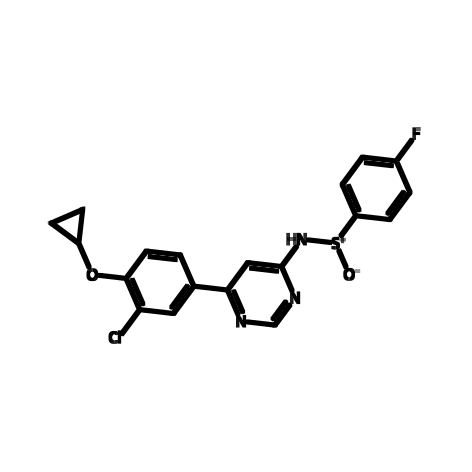 [O-][S+](Nc1cc(-c2ccc(OC3CC3)c(Cl)c2)ncn1)c1ccc(F)cc1